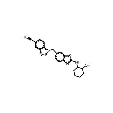 C#Cc1ccc2c(c1)ncn2Cc1ccc2nc(NC3CCCCC3O)sc2c1